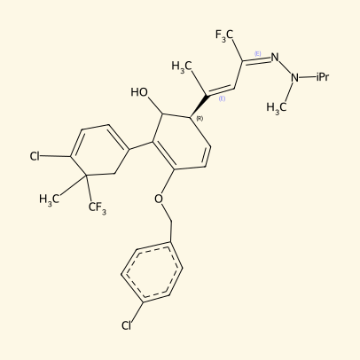 C/C(=C\C(=N/N(C)C(C)C)C(F)(F)F)[C@H]1C=CC(OCc2ccc(Cl)cc2)=C(C2=CC=C(Cl)C(C)(C(F)(F)F)C2)C1O